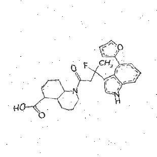 CC(F)(CC(=O)N1CCCC2C(C(=O)O)CCCC21)c1c[nH]c2cccc(-c3ccco3)c12